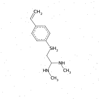 C=Cc1ccc([SiH2]CC(NC)NC)cc1